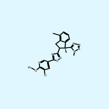 Cc1cccc2c1CC(c1noc(-c3cnc(OC(C)C)c(Cl)c3)n1)[C@@]2(C)c1nnnn1C